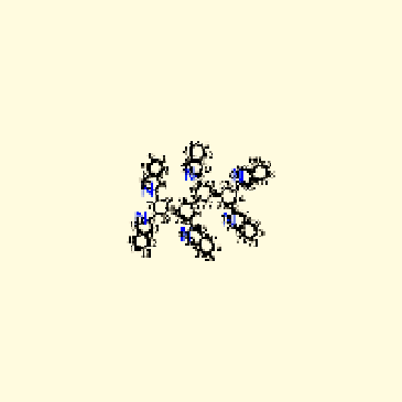 c1ccc2cc(C3CC(c4cc5ccccc5cn4)CC(C4CC(c5cc6ccccc6cn5)CC(C5CC(c6cc7ccccc7cn6)CC(C6CC(c7cc8ccccc8cn7)CC(c7cc8ccccc8cn7)C6)C5)C4)C3)ncc2c1